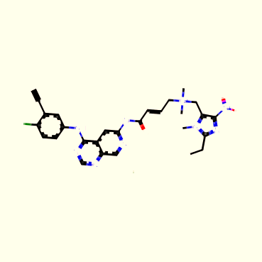 C#Cc1cc(Nc2ncnc3cnc(NC(=O)/C=C/C[N+](C)(C)Cc4c([N+](=O)[O-])nc(CC)n4C)cc23)ccc1Cl.[Br-]